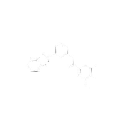 Cc1c(C(=O)O)cc(C(=O)Cc2cccc(-c3cc4ccccc4o3)c2)cc1C(=O)O